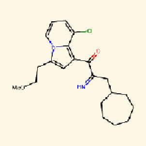 COCCc1cc(C(=O)C(=N)CC2CCCCCC2)c2c(Cl)cccn12